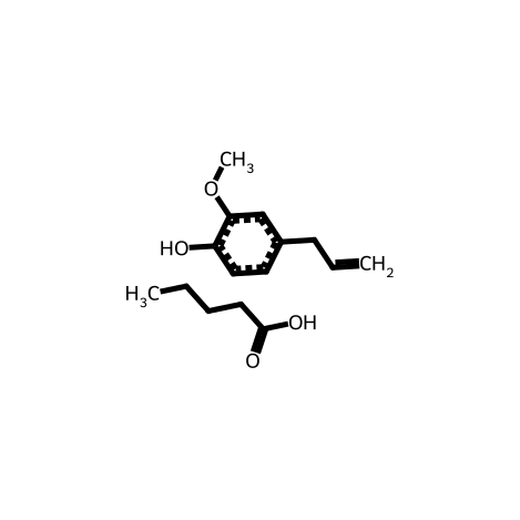 C=CCc1ccc(O)c(OC)c1.CCCCC(=O)O